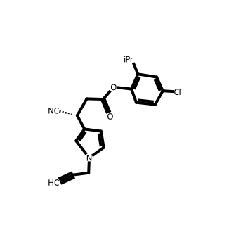 C#CCn1ccc([C@H](C#N)CC(=O)Oc2ccc(Cl)cc2C(C)C)c1